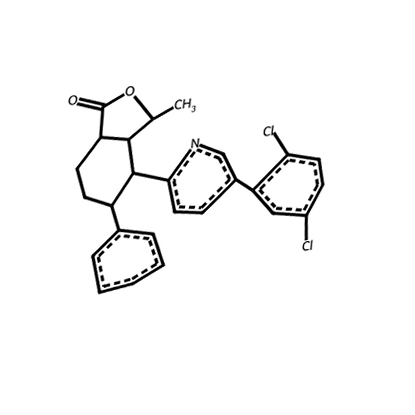 CC1OC(=O)C2CCC(c3ccccc3)C(c3ccc(-c4cc(Cl)ccc4Cl)cn3)C12